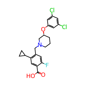 O=C(O)c1cc(C2CC2)c(CN2CCC[C@H](Oc3cc(Cl)cc(Cl)c3)C2)cc1F